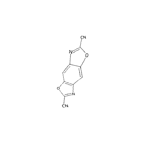 N#Cc1nc2cc3oc(C#N)nc3cc2o1